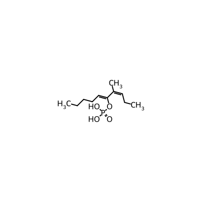 CCC=C(C)C(=CCCCC)OP(=O)(O)O